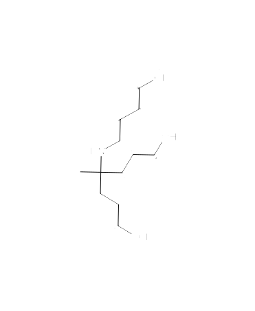 CC(CCCO)(CCCO)NCCCCO